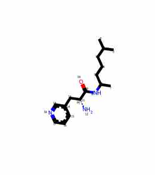 CC(C)CCCC(C)NC(=O)[C@H](N)Cc1cccnc1